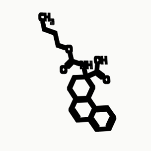 CCCCOC(=O)NC1(C(=O)O)CCc2ccc3ccccc3c2C1